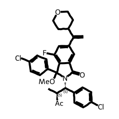 C=C(c1cc(F)c2c(c1)C(=O)N([C@H](c1ccc(Cl)cc1)[C@H](C)C(C)=O)C2(OC)c1ccc(Cl)cc1)C1CCOCC1